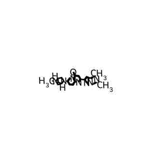 Cc1cn2nc(-c3cc(=O)n4cc(N5C[C@@H]6C[C@H]5CN6C)ccc4n3)cc2c(C)n1